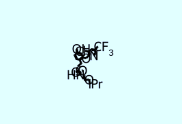 CC(C)OCCNS(=O)(=O)CCc1ccc(O)cc1Oc1ncc(C(F)(F)F)cc1Cl